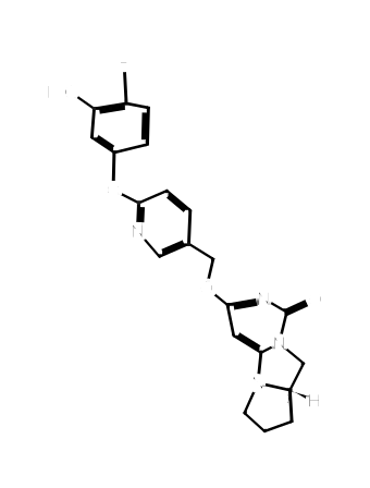 O=c1nc(OCc2ccc(Oc3ccc(F)c(C(F)(F)F)c3)nc2)cc2n1C[C@@H]1CCCN21